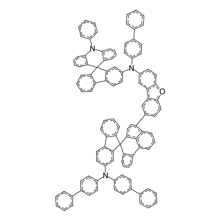 c1ccc(-c2ccc(N(c3ccc(-c4ccccc4)cc3)c3ccc4c(c3)C3(c5ccccc5-4)c4ccccc4-c4cccc5c(-c6ccc7oc8ccc(N(c9ccc(-c%10ccccc%10)cc9)c9ccc%10c(c9)C9(c%11ccccc%11-%10)c%10ccccc%10N(c%10ccccc%10)c%10ccccc%109)cc8c7c6)ccc3c45)cc2)cc1